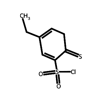 CCC1=CCC(=S)C(S(=O)(=O)Cl)=C1